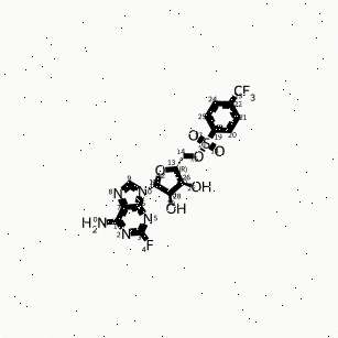 Nc1nc(F)nc2c1ncn2[C@@H]1O[C@H](COS(=O)(=O)c2ccc(C(F)(F)F)cc2)[C@@H](O)[C@H]1O